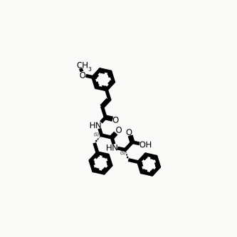 COc1cccc(C=CC(=O)N[C@@H](Cc2ccccc2)C(=O)N[C@@H](Cc2ccccc2)C(=O)O)c1